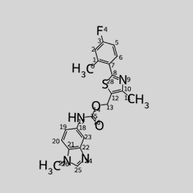 Cc1cc(F)ccc1-c1nc(C)c(COC(=O)Nc2ccc3c(c2)ncn3C)s1